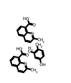 Cc1ccc(O)cc1C.Cc1ccc2cccc(C(=O)O)c2n1.Cc1ccc2cccc(C(=O)O)c2n1